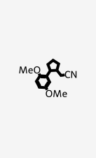 COc1ccc(OC)c(C2CCCC2CC#N)c1